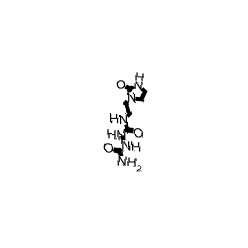 NC(=O)NNC(=O)NCCN1CCNC1=O